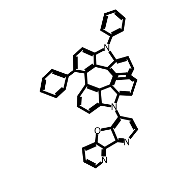 c1ccc(-c2ccc3c(c2-c2cccc4c2c2ccccc2n4-c2ccnc4c2oc2cccnc24)c2ccccc2n3-c2ccccc2)cc1